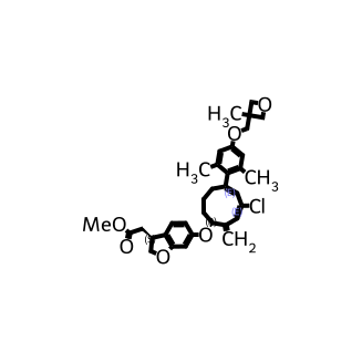 C=C1/C=C(Cl)\C=C(\c2c(C)cc(OCC3(C)COC3)cc2C)CCC[C@H]1Oc1ccc2c(c1)OC[C@H]2CC(=O)OC